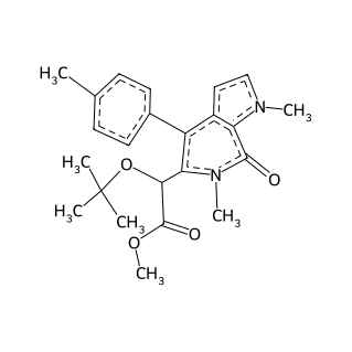 COC(=O)C(OC(C)(C)C)c1c(-c2ccc(C)cc2)c2ccn(C)c2c(=O)n1C